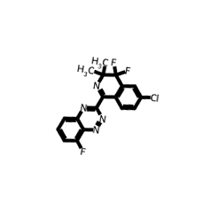 CC1(C)N=C(c2nnc3c(F)cccc3n2)c2ccc(Cl)cc2C1(F)F